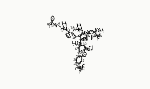 CC(=O)NCCNC(=O)C1=Cc2c(ncnc2Nc2ccc(Oc3cccc(C(F)(F)F)c3)c(Cl)c2)NCC1.O=C(O)C(F)(F)F